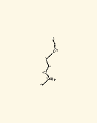 COCCO[SiH]C